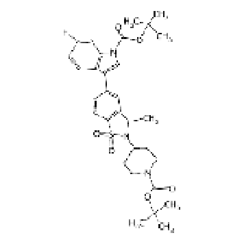 CC1c2cc(-c3cn(C(=O)OC(C)(C)C)c4cc(F)ccc34)ccc2S(=O)(=O)N1C1CCN(C(=O)OC(C)(C)C)CC1